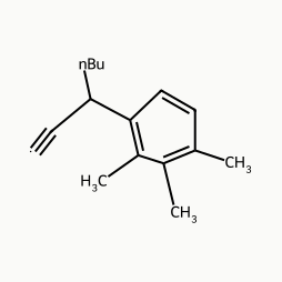 [C]#CC(CCCC)c1ccc(C)c(C)c1C